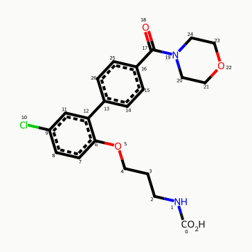 O=C(O)NCCCOc1ccc(Cl)cc1-c1ccc(C(=O)N2CCOCC2)cc1